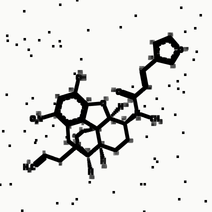 C=CCN1CC[C@]23c4c5c([N+](=O)[O-])cc(O)c4O[C@H]2[C@@H](N(C)C(=O)/C=C/c2ccoc2)CC[C@H]3[C@H]1C5